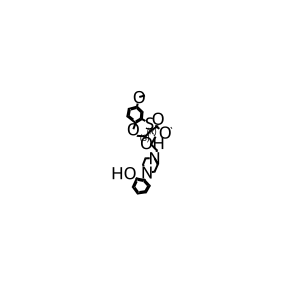 COC(=O)[C@]1(CCCN2CCN(c3ccccc3O)CC2)Sc2cc(OC)ccc2OC[C@@H]1O